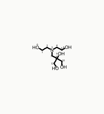 OCCN(CCO)CC(O)(CO)CO